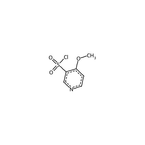 COc1ccncc1S(=O)(=O)Cl